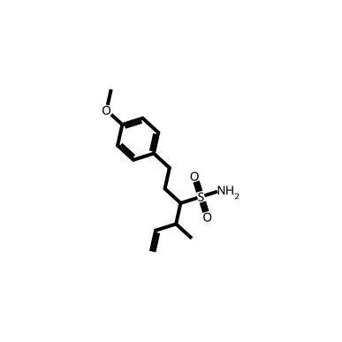 C=CC(C)C(CCc1ccc(OC)cc1)S(N)(=O)=O